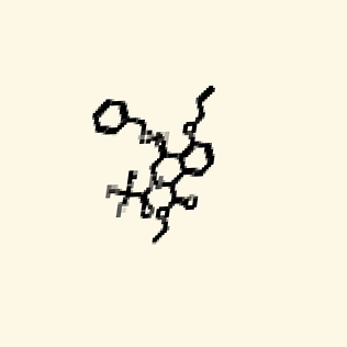 C=CCOc1cccc2c1C(=NOCc1ccccc1)CN(C(=O)C(F)(F)F)C2C(=O)OCC